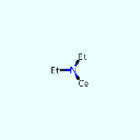 CC[N]([Ce])CC